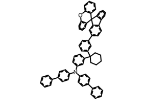 c1ccc(-c2ccc(N(c3ccc(-c4ccccc4)cc3)c3cccc(C4(c5cccc(-c6ccc7c(c6)C6(c8ccccc8Oc8ccccc86)c6ccccc6-7)c5)CCCCC4)c3)cc2)cc1